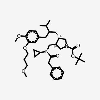 COCCCOc1cc(CC(C[C@@H]2CN(C(=O)OC(C)(C)C)C[C@H]2CN(C(=O)Cc2ccccc2)C2CC2)C(C)C)ccc1OC